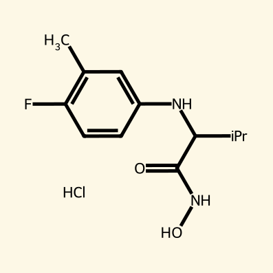 Cc1cc(NC(C(=O)NO)C(C)C)ccc1F.Cl